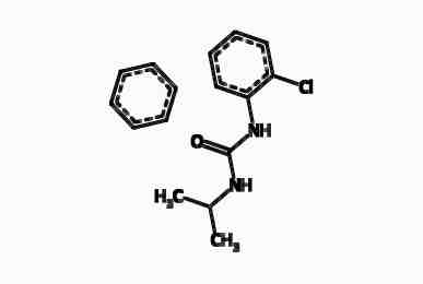 CC(C)NC(=O)Nc1ccccc1Cl.c1ccccc1